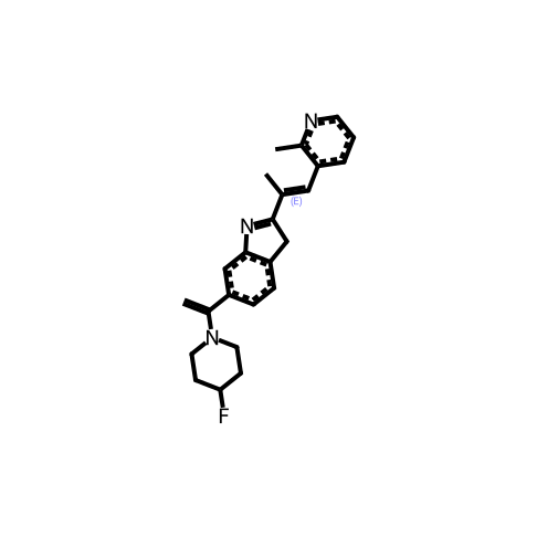 C=C(c1ccc2c(c1)N=C(/C(C)=C/c1cccnc1C)C2)N1CCC(F)CC1